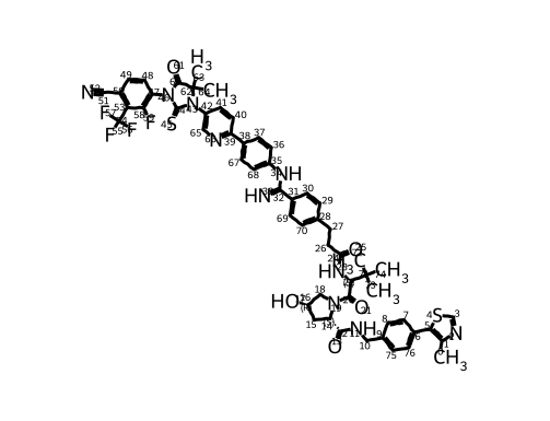 Cc1ncsc1-c1ccc(CNC(=O)[C@@H]2C[C@@H](O)CN2C(=O)[C@@H](NC(=O)CCc2ccc(C(=N)Nc3ccc(-c4ccc(N5C(=S)N(c6ccc(C#N)c(C(F)(F)F)c6F)C(=O)C5(C)C)cn4)cc3)cc2)C(C)(C)C)cc1